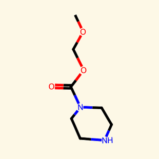 COCOC(=O)N1CCNCC1